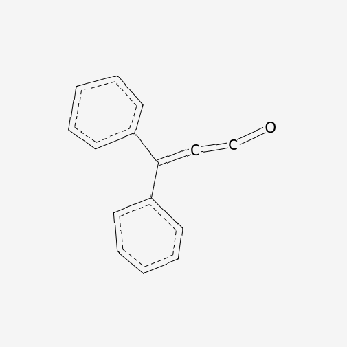 O=C=C=C(c1ccccc1)c1ccccc1